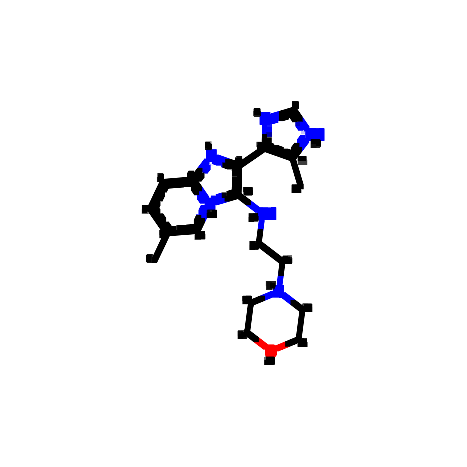 Cc1ccc2nc(-c3nc[nH]c3C)c(NCCN3CCOCC3)n2c1